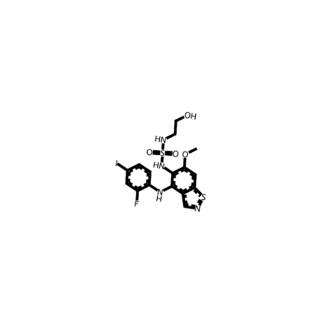 COc1cc2sncc2c(Nc2ccc(I)cc2F)c1NS(=O)(=O)NCCO